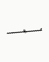 CCCCCCC=CCCCCCCCCCCCC(=O)OCCCCCCCCCCCCCCCCC(C)CC